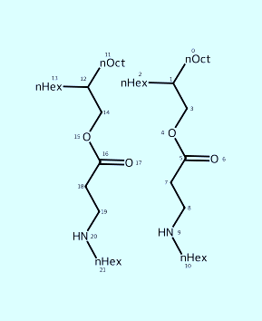 CCCCCCCCC(CCCCCC)COC(=O)CCNCCCCCC.CCCCCCCCC(CCCCCC)COC(=O)CCNCCCCCC